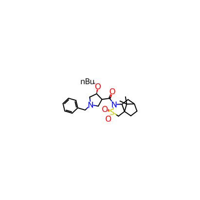 CCCCO[C@@H]1CN(Cc2ccccc2)CC1C(=O)N1C2CC3CCC2(CS1(=O)=O)C3(C)C